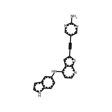 Nc1ncc(C#Cc2cc3c(Nc4ccc5[nH]ccc5c4)ccnc3s2)cn1